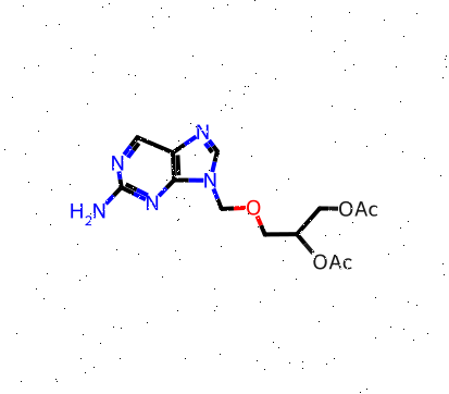 CC(=O)OCC(COCn1cnc2cnc(N)nc21)OC(C)=O